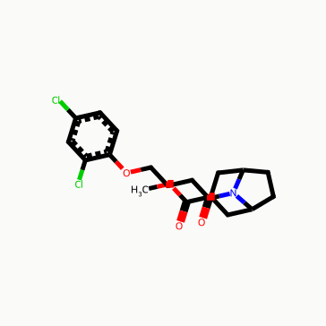 COC(=O)C1CC2CCC(C1)N2C(=O)CCCOc1ccc(Cl)cc1Cl